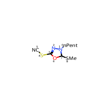 CCCCCN1N=C(SC#N)OC1SC